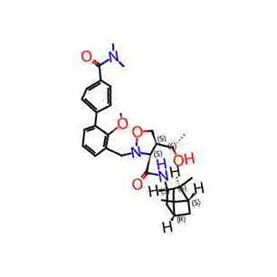 COc1c(CN2OC[C@@H]([C@H](C)O)[C@H]2C(=O)N[C@H]2C[C@H]3C[C@@H]([C@@H]2C)C3(C)C)cccc1-c1ccc(C(=O)N(C)C)cc1